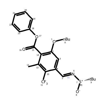 CCCCOc1cc(/C=N/[S@@+]([O-])C(C)(C)C)c(C(F)(F)F)c(C)c1C(=O)Oc1ccccc1